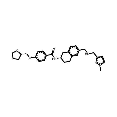 Cn1ccc(CNCc2ccc3c(c2)CC[C@H](NC(=O)c2ccc(OC[C@@H]4CCCO4)cc2)C3)n1